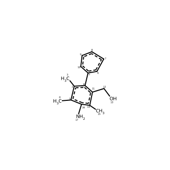 Cc1c(C)c(-c2ccccc2)c(CO)c(C)c1N